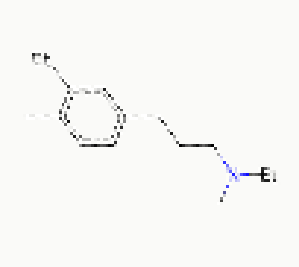 CCc1cc(CCCN(C)CC)ccc1C